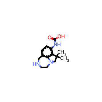 CC1(C)CN2CCNCc3ccc(NC(=O)O)c1c32